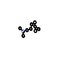 c1ccc(-c2nc(-c3ccc(-c4cccc(-c5cccc6c5-c5cc7c(cc5C65CCCCC5)-c5ccccc5C75CCCCC5)c4)cc3)c3sc4ccccc4c3n2)cc1